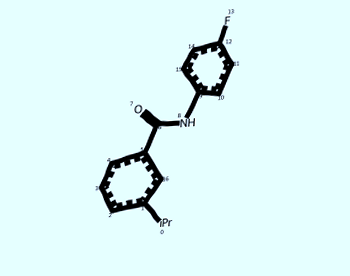 CC(C)c1cccc(C(=O)Nc2ccc(F)cc2)c1